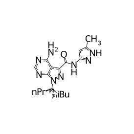 CCC[C@H]([C@H](C)CC)n1nc(C(=O)Nc2cc(C)[nH]n2)c2c(N)ncnc21